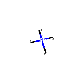 [CH][N+](C)(C)C